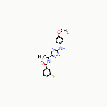 COc1ccc(Nc2ncc(C(C)NC(=O)c3cccc(F)c3)nn2)cc1